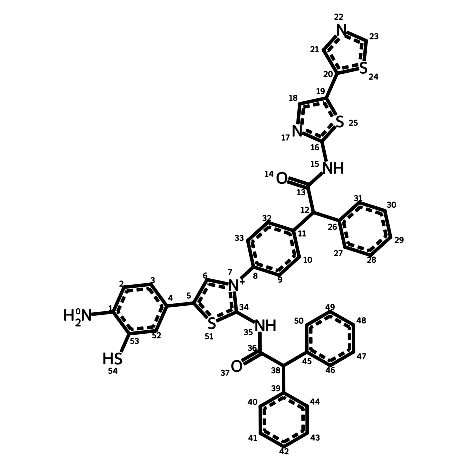 Nc1ccc(-c2c[n+](-c3ccc(C(C(=O)Nc4ncc(-c5cncs5)s4)c4ccccc4)cc3)c(NC(=O)C(c3ccccc3)c3ccccc3)s2)cc1S